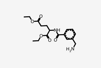 CCOC(=O)CCC(NC(=O)c1cccc(CN)c1)C(=O)OCC